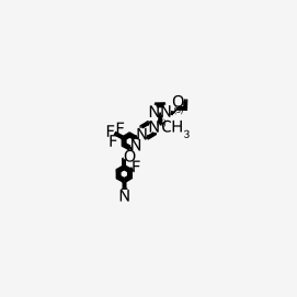 C[C@@H](c1nccn1C[C@@H]1CCO1)N1CCN(c2cc(C(F)(F)F)cc(OCc3ccc(C#N)cc3F)n2)CC1